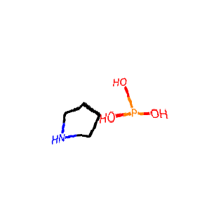 C1CCNC1.OP(O)O